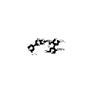 COc1cnc(Cl)cc1-c1cc(C)ncc1C(=O)Nc1nc2ncc(-c3ccnc(C)c3)nc2s1